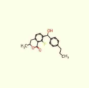 CCCc1ccc(C(O)c2ccc3c(c2F)C(=O)OC(C)C3)cc1